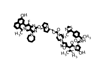 CCc1cccc2cc(O)cc(-c3ncc4c(N5CCCCCC5)nc(OC[C@]56CCCN5[C@H](COC(=O)N5CCN(c7cc([C@H](C(=O)N8C[C@H](O)C[C@H]8C(=O)N[C@@H](C)c8ccc(-c9scnc9C)cc8)C(C)C)on7)CC5)CC6)nc4c3F)c12